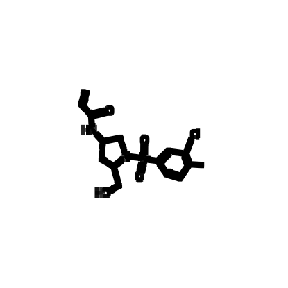 C=CC(=O)NC1CC(CO)N(S(=O)(=O)c2ccc(C)c(Cl)c2)C1